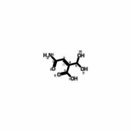 NC(=O)/C=C(\C(=O)O)C(O)O